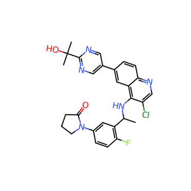 CC(Nc1c(Cl)cnc2ccc(-c3cnc(C(C)(C)O)nc3)cc12)c1cc(N2CCCC2=O)ccc1F